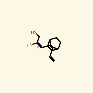 C=CC1=C(/C=C(/S)CS)C2CCC1CC2